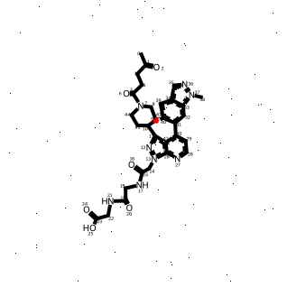 CC(=O)CCC(=O)N1CCC(c2nn(CC(=O)NCC(=O)NCC(=O)O)c3nccc(-c4cc5c(cnn5C)cc4F)c23)CC1